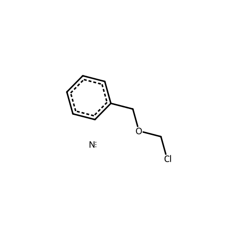 ClCOCc1ccccc1.[N]